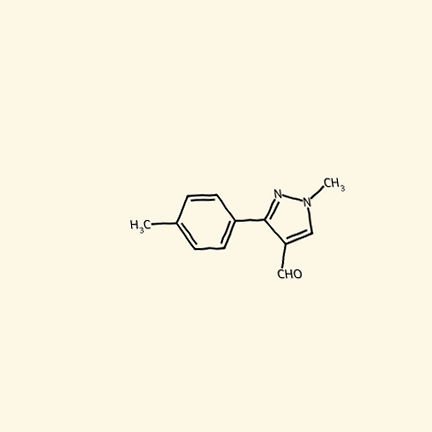 Cc1ccc(-c2nn(C)cc2C=O)cc1